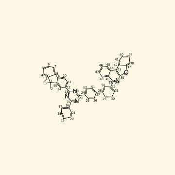 CC1(C)c2ccccc2-c2ccc(-c3nc(-c4ccccc4)nc(-c4ccc(-c5cccc(-c6nc7oc8ccccc8c7c7ccccc67)c5)cc4)n3)cc21